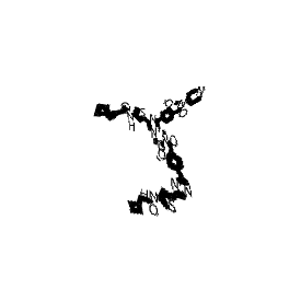 COc1cc(-c2cncc(-c3cc(NC(=O)CC4CCC4)cs3)n2)ccc1C(=O)N(C)OC[n+]1cc(-c2ccc(C(=O)N(C)C3CCN(C)CC3)c(OC)c2)nc(-c2cc(NC(=O)C3CC34CCC4)cs2)c1